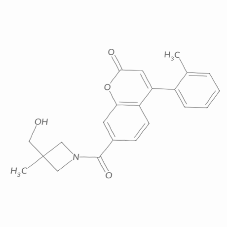 Cc1ccccc1-c1cc(=O)oc2cc(C(=O)N3CC(C)(CO)C3)ccc12